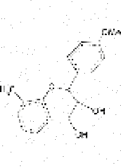 COc1ccc(C2Oc3c(C)cccc3C(O)C2O)cc1